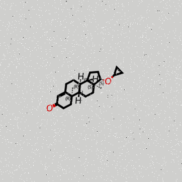 C[C@]12CC[C@H]3[C@@H](CCC4=CC(=O)CC[C@@]43C)[C@@H]1CC[C@@H]2OC1CC1